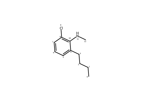 CCCCc1cccc(Cl)c1NC